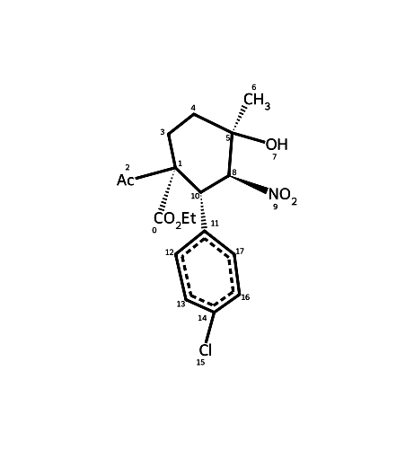 CCOC(=O)[C@]1(C(C)=O)CC[C@@](C)(O)[C@@H]([N+](=O)[O-])[C@@H]1c1ccc(Cl)cc1